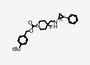 CC(C)(C)c1ccc(COC(=O)N2CCC(F)(CN[C@@H]3C[C@H]3c3ccccc3)CC2)cc1